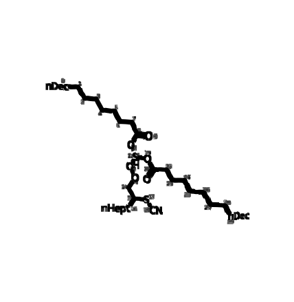 CCCCCCCCCCCCCCCCCC(=O)O[SiH](OOCC(CCCCCCC)SC#N)OC(=O)CCCCCCCCCCCCCCCCC